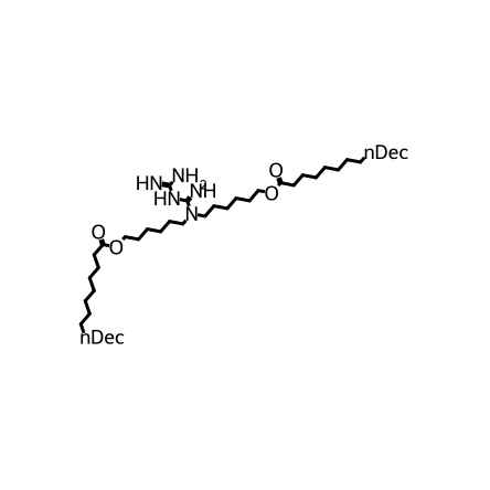 CCCCCCCCCCCCCCCCCC(=O)OCCCCCCN(CCCCCCOC(=O)CCCCCCCCCCCCCCCCC)C(=N)NC(=N)N